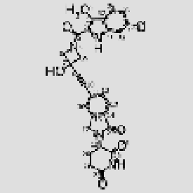 Cc1c(C(=O)N2CC(O)(C#Cc3ccc4c(c3)CN(C3CCC(=O)NC3=O)C4=O)C2)[nH]c2cc(Cl)ccc12